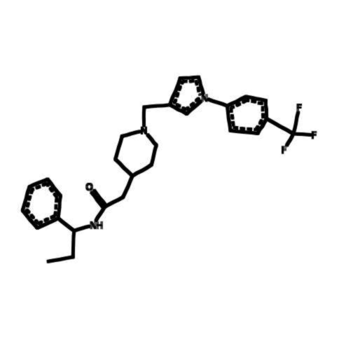 CCC(NC(=O)CC1CCN(Cc2ccn(-c3ccc(C(F)(F)F)cc3)c2)CC1)c1ccccc1